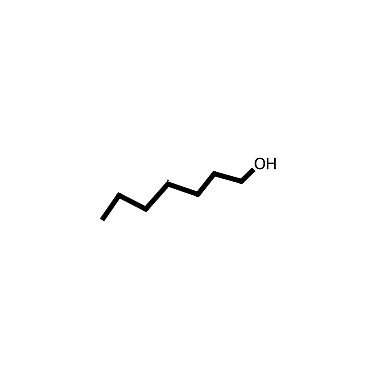 CCC[CH]CCCO